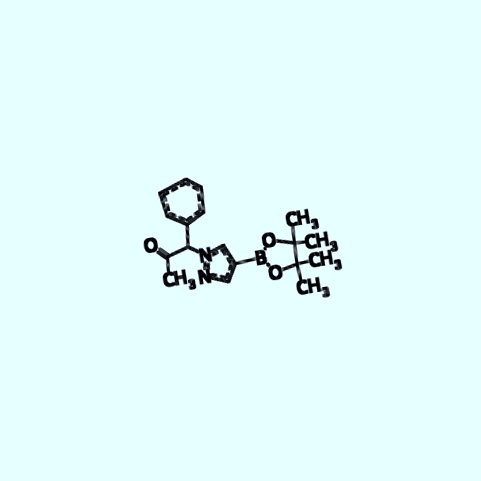 CC(=O)C(c1ccccc1)n1cc(B2OC(C)(C)C(C)(C)O2)cn1